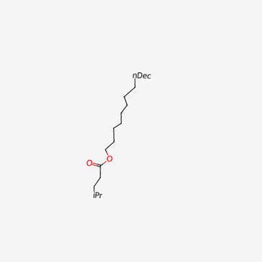 CCCCCCCCCCCCCCCCCCOC(=O)CCC(C)C